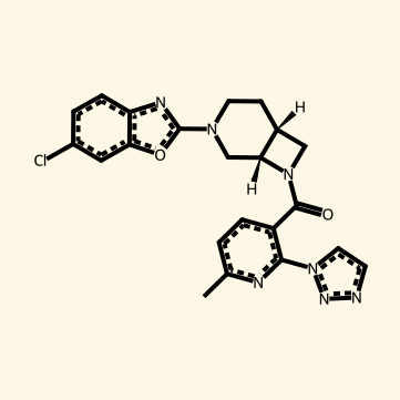 Cc1ccc(C(=O)N2C[C@H]3CCN(c4nc5ccc(Cl)cc5o4)C[C@H]32)c(-n2ccnn2)n1